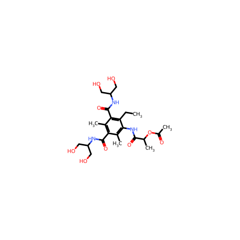 CCc1c(NC(=O)C(C)OC(C)=O)c(C)c(C(=O)NC(CO)CO)c(C)c1C(=O)NC(CO)CO